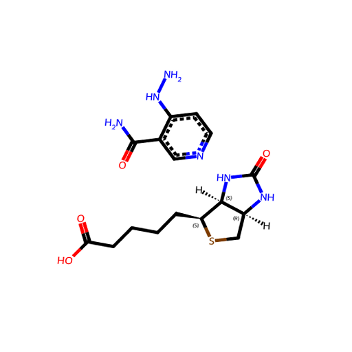 NNc1ccncc1C(N)=O.O=C(O)CCCC[C@@H]1SC[C@@H]2NC(=O)N[C@@H]21